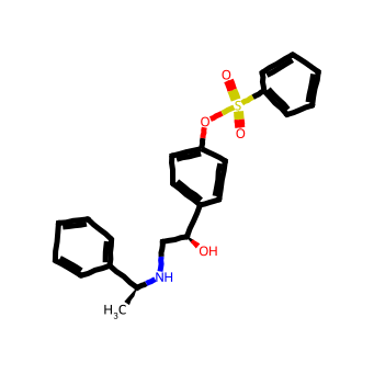 C[C@H](NC[C@H](O)c1ccc(OS(=O)(=O)c2ccccc2)cc1)c1ccccc1